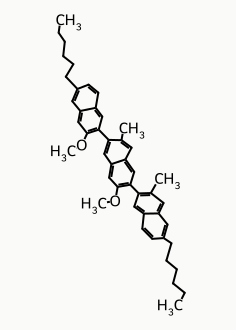 CCCCCCc1ccc2cc(-c3cc4cc(C)c(-c5cc6ccc(CCCCCC)cc6cc5OC)cc4cc3OC)c(C)cc2c1